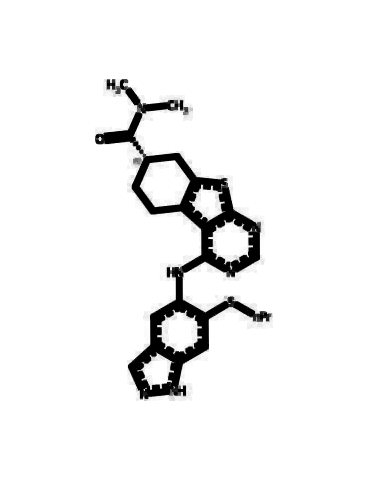 CCCSc1cc2[nH]ncc2cc1Nc1ncnc2sc3c(c12)CC[C@H](C(=O)N(C)C)C3